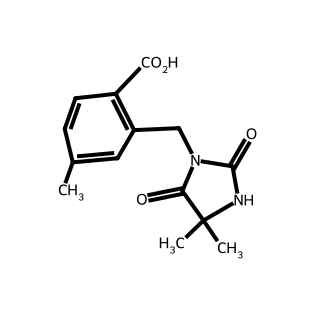 Cc1ccc(C(=O)O)c(CN2C(=O)NC(C)(C)C2=O)c1